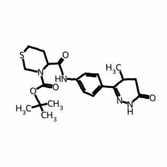 CC1CC(=O)NN=C1c1ccc(NC(=O)C2CCSCN2C(=O)OC(C)(C)C)cc1